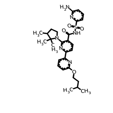 CC(C)CCOc1cccc(-c2ccc(C(=O)NS(=O)(=O)c3cccc(N)n3)c(N3CCC(C)C3(C)C)n2)n1